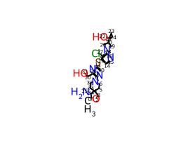 C[C@@H]1OCC2(CCN(c3ncc(Sc4ccnc(N5CC(C6(O)CC6)C5)c4Cl)nc3CO)CC2)[C@@H]1N